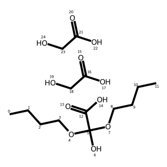 CCCCOC(O)(OCCCC)C(=O)O.O=C(O)CO.O=C(O)CO